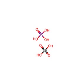 O=P(O)(O)O.O=[Se](=O)(O)O